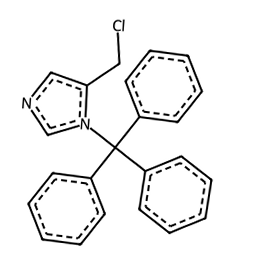 ClCc1cncn1C(c1ccccc1)(c1ccccc1)c1ccccc1